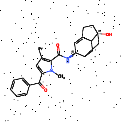 CC(C)c1cc(C(=O)c2ccccc2)n(C)c1C(=O)N[C@H]1C=C2CC[C@@]3(O)CC1CC23